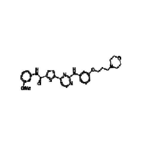 COc1cccc(NC(=O)c2ccc(-c3ccnc(Nc4cccc(OCCCN5CCOCC5)c4)n3)s2)c1